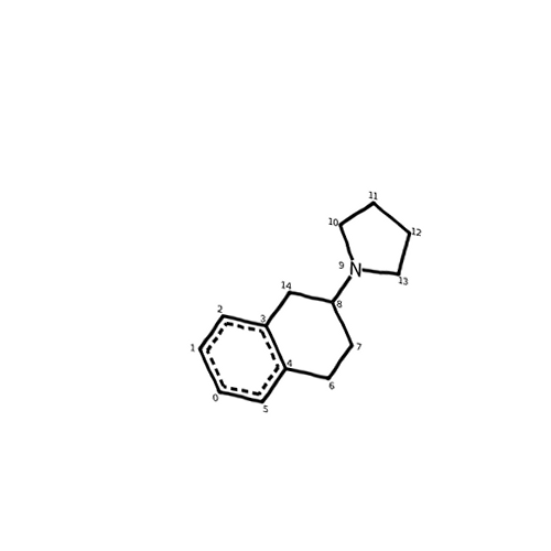 c1ccc2c(c1)CCC(N1CCCC1)C2